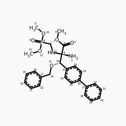 COC(=O)[C@@](N)(NCP(=O)(OC)OC)[C@@H](OCc1ccccc1)c1ccc(-c2ccccc2)cc1